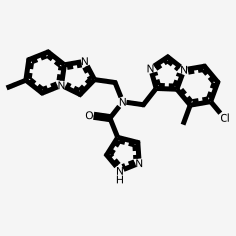 Cc1ccc2nc(CN(Cc3ncn4ccc(Cl)c(C)c34)C(=O)c3cn[nH]c3)cn2c1